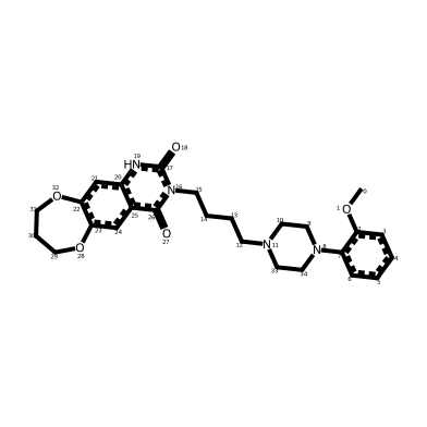 COc1ccccc1N1CCN(CCCCn2c(=O)[nH]c3cc4c(cc3c2=O)OCCCO4)CC1